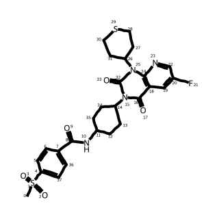 CS(=O)(=O)c1ccc(C(=O)NC2CCC(n3c(=O)c4cc(F)cnc4n(C4CCSCC4)c3=O)CC2)cc1